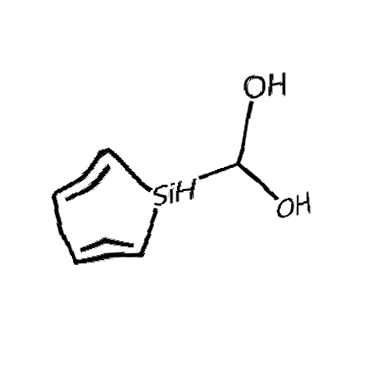 OC(O)[SiH]1C=CC=C1